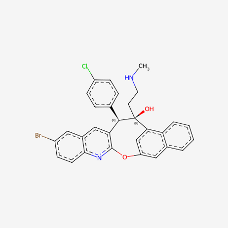 CNCC[C@]1(O)c2cc(cc3ccccc23)Oc2nc3ccc(Br)cc3cc2[C@H]1c1ccc(Cl)cc1